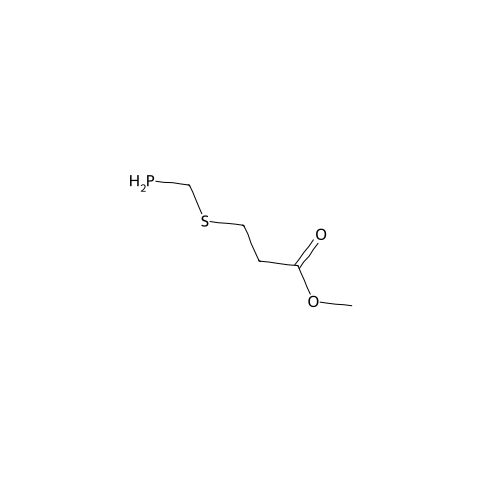 COC(=O)CCSCP